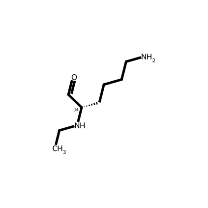 CCN[C@H](C=O)CCCCN